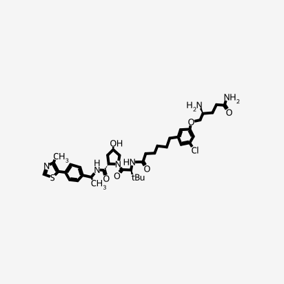 Cc1ncsc1-c1ccc([C@H](C)NC(=O)[C@@H]2C[C@@H](O)CN2C(=O)[C@@H](NC(=O)CCCCCc2cc(Cl)cc(OC[C@@H](N)CCC(N)=O)c2)C(C)(C)C)cc1